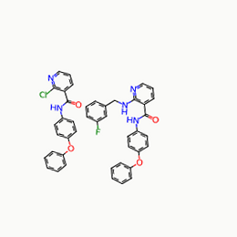 O=C(Nc1ccc(Oc2ccccc2)cc1)c1cccnc1Cl.O=C(Nc1ccc(Oc2ccccc2)cc1)c1cccnc1NCc1cccc(F)c1